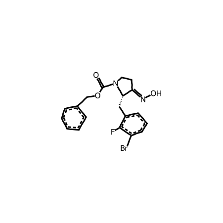 O=C(OCc1ccccc1)N1CCC(=NO)[C@@H]1Cc1cccc(Br)c1F